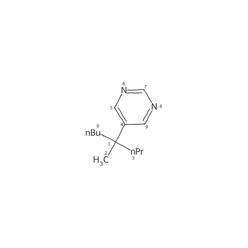 CCCCC(C)(CCC)c1cncnc1